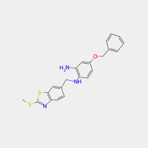 CSc1nc2ccc(CNc3ccc(OCc4ccccc4)cc3N)cc2s1